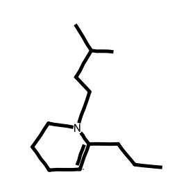 CCCC1=[C]CCCN1CCC(C)C